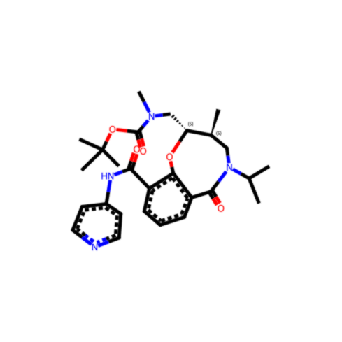 CC(C)N1C[C@H](C)[C@@H](CN(C)C(=O)OC(C)(C)C)Oc2c(C(=O)Nc3ccncc3)cccc2C1=O